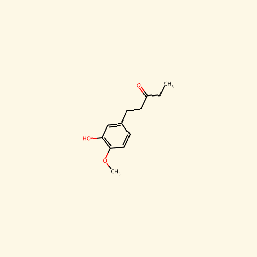 CCC(=O)CCc1ccc(OC)c(O)c1